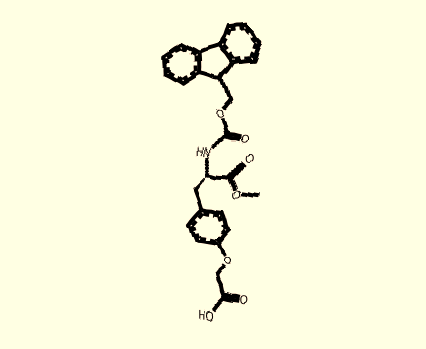 COC(=O)[C@@H](Cc1ccc(OCC(=O)O)cc1)NC(=O)OCC1c2ccccc2-c2ccccc21